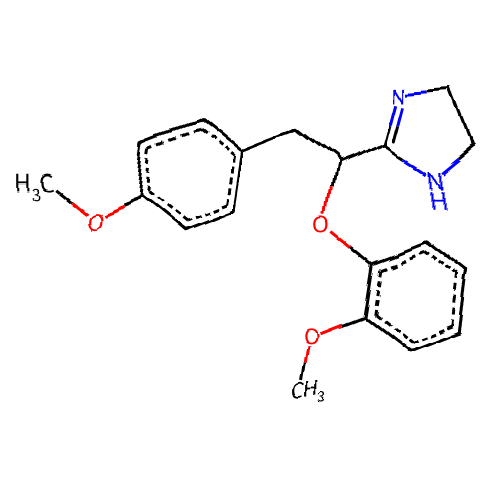 COc1ccc(CC(Oc2ccccc2OC)C2=NCCN2)cc1